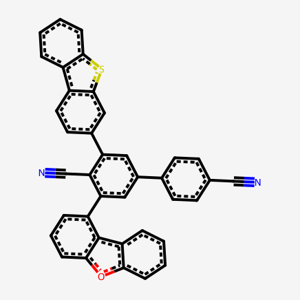 N#Cc1ccc(-c2cc(-c3ccc4c(c3)sc3ccccc34)c(C#N)c(-c3cccc4oc5ccccc5c34)c2)cc1